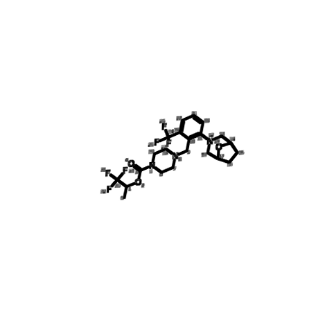 CC(OC(=O)N1CCN(Cc2c(N3CC4CCC(C3)O4)cccc2C(F)(F)F)CC1)C(F)(F)F